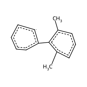 Cc1cccc(C)c1-c1[c]cccc1